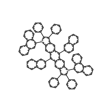 c1ccc(-c2c(-c3ccccc3)n(-c3cc4ccccc4c4ccccc34)c3cc4c(-c5ccc6ccccc6c5)c5cc6c(-c7ccccc7)c(-c7ccccc7)n(-c7cc8ccccc8c8ccccc78)c6cc5c(-c5ccc6ccccc6c5)c4cc23)cc1